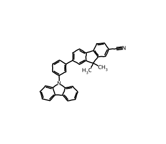 CC1(C)c2cc(C#N)ccc2-c2ccc(-c3cccc(-n4c5ccccc5c5ccccc54)c3)cc21